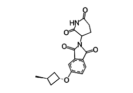 C[C@H]1C[C@H](Oc2ccc3c(c2)C(=O)N(C2CCC(=O)NC2=O)C3=O)C1